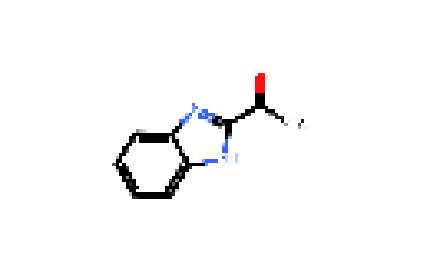 CC(=O)OC(=O)c1nc2ccccc2[nH]1